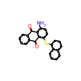 Nc1ccc(Sc2cccc3ccccc23)c2c1C(=O)c1ccccc1C2=O